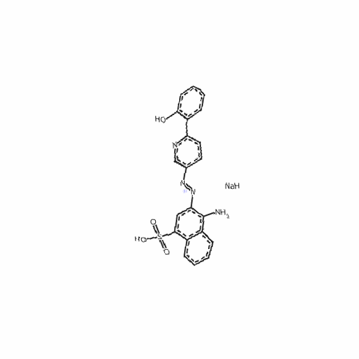 Nc1c(/N=N/c2ccc(-c3ccccc3O)nc2)cc(S(=O)(=O)O)c2ccccc12.[NaH]